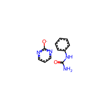 NC(=O)Nc1ccccc1.[O]c1ncccn1